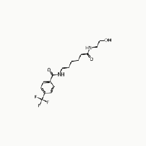 O=C(CCCCCNC(=O)c1ccc(C(F)(F)F)cc1)NCCO